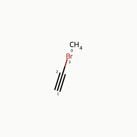 C.C#CBr